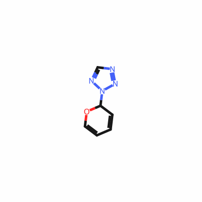 C1=COC(n2ncnn2)C=C1